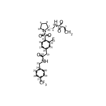 C=CS(=O)(=O)NC[C@H]1CCCN1S(=O)(=O)c1ccc(CC(=O)NCc2ccc(C(F)(F)F)cc2)cc1F